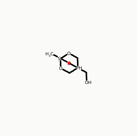 C[Si]12OC[PH](CO)(CO1)CO2